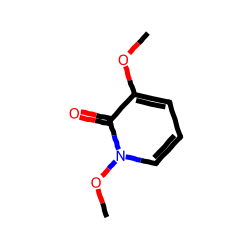 COc1cccn(OC)c1=O